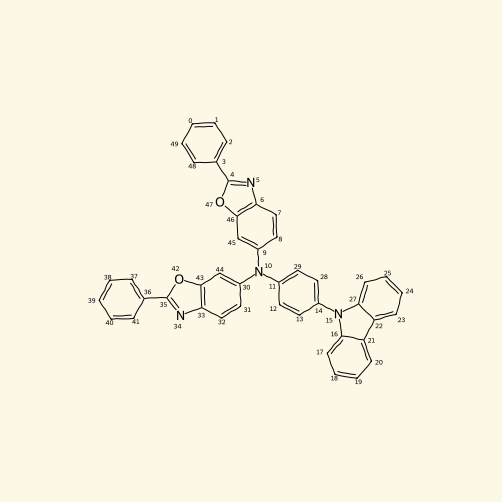 c1ccc(-c2nc3ccc(N(c4ccc(-n5c6ccccc6c6ccccc65)cc4)c4ccc5nc(-c6ccccc6)oc5c4)cc3o2)cc1